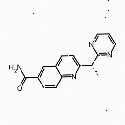 C[C@H](c1ccc2cc(C(N)=O)ccc2n1)c1ncccn1